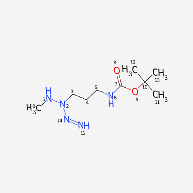 CNN(CCCNC(=O)OC(C)(C)C)N=N